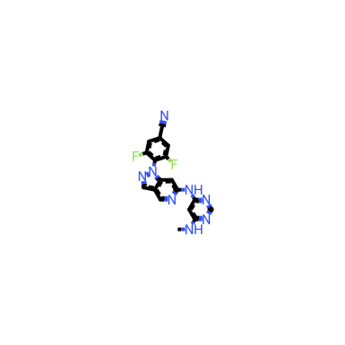 CNc1cc(Nc2cc3c(cn2)cnn3-c2c(F)cc(C#N)cc2F)ncn1